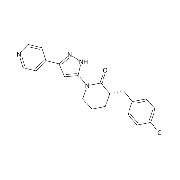 O=C1[C@H](Cc2ccc(Cl)cc2)CCCN1c1cc(-c2ccncc2)n[nH]1